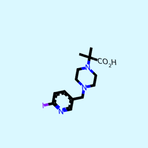 CC(C)(C(=O)O)N1CCN(Cc2ccc(I)nc2)CC1